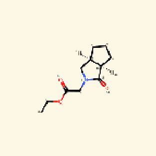 CCOC(=O)CN1C[C@H]2CCC[C@H]2C1=O